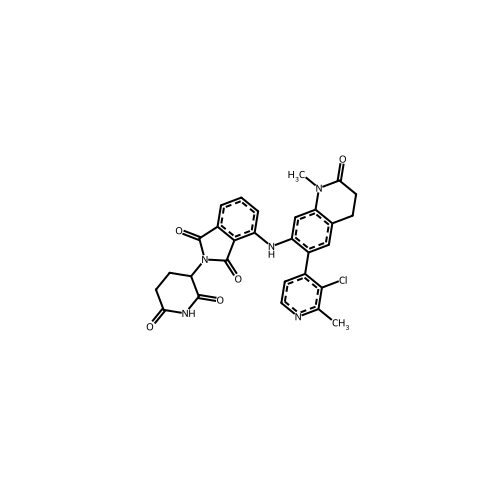 Cc1nccc(-c2cc3c(cc2Nc2cccc4c2C(=O)N(C2CCC(=O)NC2=O)C4=O)N(C)C(=O)CC3)c1Cl